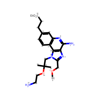 CCOCc1nc2c(N)nc3cc(CCC(=O)OCC)ccc3c2n1CC(C)(C)OCCN